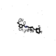 Cc1cc(CO)cc(C(=O)/C=C/c2cc(-c3ccc(F)c(F)c3)n[nH]2)c1